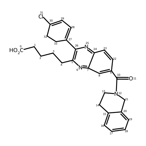 O=C(O)CCCCc1nc2cc(C(=O)N3CCc4ccccc4C3)ccc2nc1C1=CC=C(Cl)CC1